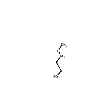 NONCCO